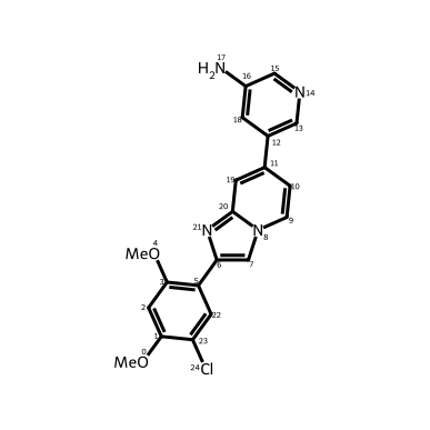 COc1cc(OC)c(-c2cn3ccc(-c4cncc(N)c4)cc3n2)cc1Cl